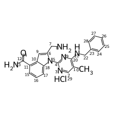 Cc1cnc(-n2c(CN)cc3c(C(N)=O)cccc32)nc1NCc1ccccc1.Cl